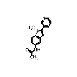 CC(=O)Nc1ccc2c(c1)nc(-c1cccnc1)n2C